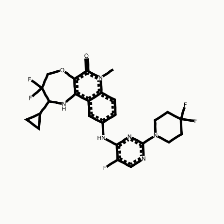 Cn1c(=O)c2c(c3cc(Nc4nc(N5CCC(F)(F)CC5)ncc4F)ccc31)NC(C1CC1)C(F)(F)CO2